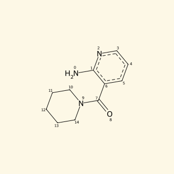 Nc1ncccc1C(=O)N1CCCCC1